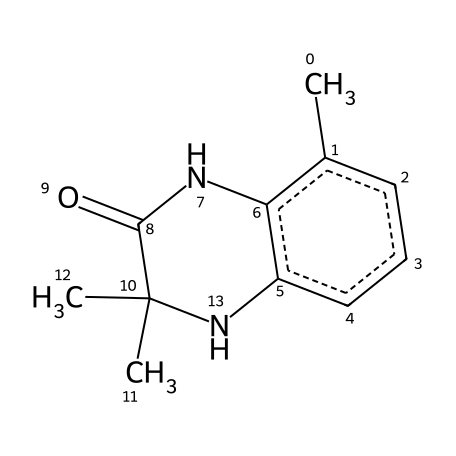 Cc1cccc2c1NC(=O)C(C)(C)N2